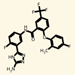 Cc1cc(F)ccc1Oc1ccc(C(F)(F)F)cc1C(=O)Nc1ccc(F)c(-c2nnc(N)[nH]2)c1